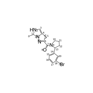 CC1NC=C2SC(C(=O)N3CCCC3c3cccc(Br)c3)=NN21